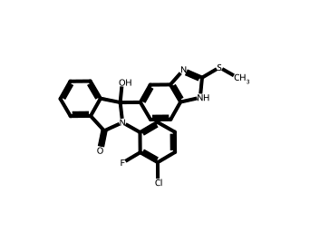 CSc1nc2cc(C3(O)c4ccccc4C(=O)N3c3cccc(Cl)c3F)ccc2[nH]1